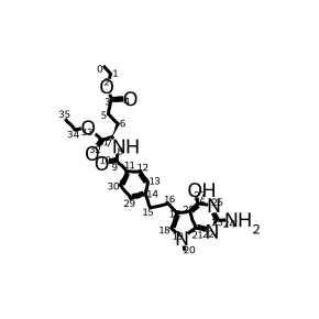 CCOC(=O)CC[C@@H](NC(=O)c1ccc(CCc2cn(C)c3nc(N)nc(O)c23)cc1)C(=O)OCC